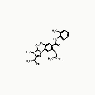 Cc1ccccc1NC(=O)c1cc(F)c(N2N=C([C@H](C)O)N(C)C2O)cc1O[C@@H](C)C(F)(F)F